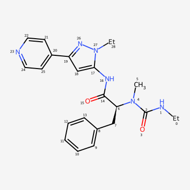 CCNC(=O)N(C)[C@@H](Cc1ccccc1)C(=O)Nc1cc(-c2ccncc2)nn1CC